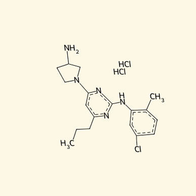 CCCc1cc(N2CCC(N)C2)nc(Nc2cc(Cl)ccc2C)n1.Cl.Cl